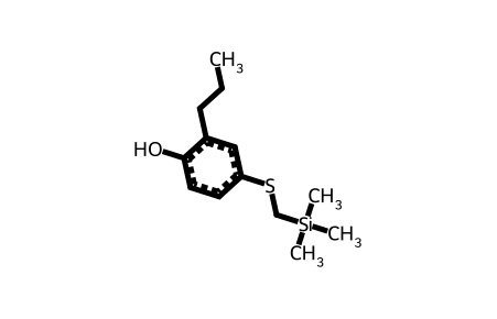 CCCc1cc(SC[Si](C)(C)C)ccc1O